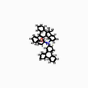 C=C(/C=C\C)N(c1ccc2c3ccccc3c3ccccc3c2c1)c1cccc2c1-c1c(c3ccccc3c3c1oc1ccccc13)C2(C)C